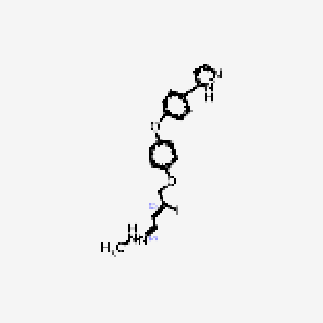 CN/N=C\C=C(/I)COc1ccc(Oc2ccc(-c3ccn[nH]3)cc2)cc1